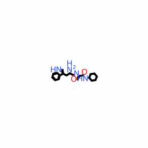 N[C@@H](Cc1c[nH]c2ccccc12)c1nc(C(=O)NC2CCCCC2)co1